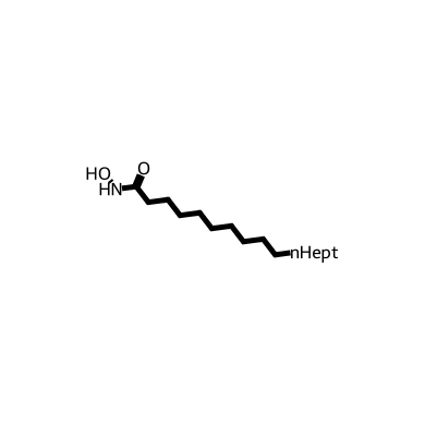 CCCCCCCCCCCCCCCCC(=O)NO